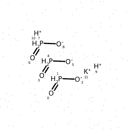 O=[PH2][O-].O=[PH2][O-].O=[PH2][O-].[H+].[H+].[K+]